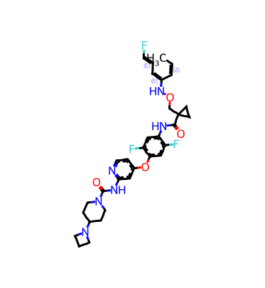 C\C=C/C(=C\C=C\F)NOCC1(C(=O)Nc2cc(F)c(Oc3ccnc(NC(=O)N4CCC(N5CCC5)CC4)c3)cc2F)CC1